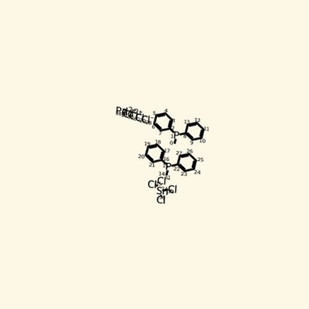 CP(c1ccccc1)c1ccccc1.CP(c1ccccc1)c1ccccc1.[Cl-].[Cl-].[Cl-].[Cl-].[Cl-].[Cl][Sn+]([Cl])[Cl].[Pd+2].[Pd+2]